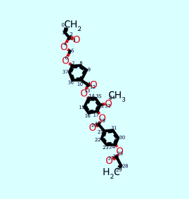 C=CC(=O)OCOc1ccc(C(=O)Oc2ccc(OC(=O)c3ccc(OC(=O)C=C)cc3)c(OC)c2)cc1